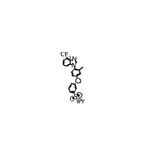 Cc1cc(Oc2cccc(S(=O)(=O)C(C)C)c2)ccc1-n1cnc2c(C(F)(F)F)cccc21